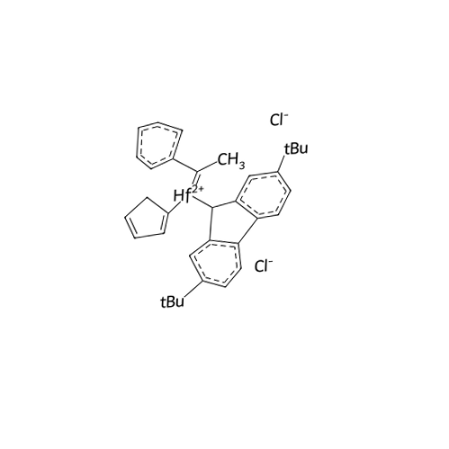 C/[C](c1ccccc1)=[Hf+2](/[C]1=CC=CC1)[CH]1c2cc(C(C)(C)C)ccc2-c2ccc(C(C)(C)C)cc21.[Cl-].[Cl-]